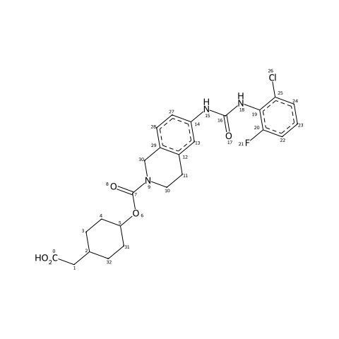 O=C(O)CC1CCC(OC(=O)N2CCc3cc(NC(=O)Nc4c(F)cccc4Cl)ccc3C2)CC1